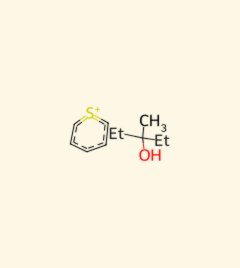 CCC(C)(O)CC.c1cc[s+]cc1